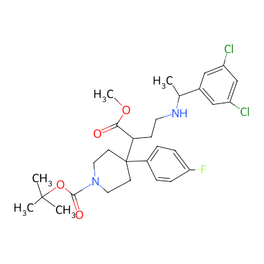 COC(=O)C(CCNC(C)c1cc(Cl)cc(Cl)c1)C1(c2ccc(F)cc2)CCN(C(=O)OC(C)(C)C)CC1